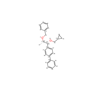 C[C@H](OCc1ccccc1)[C@H](OCC1CC1)c1ccc(-c2ccccc2)cc1